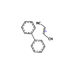 N#C/C=C/C#N.c1ccc(-c2ccccc2)cc1